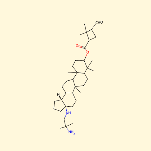 CC(C)(N)CNC12CCC[C@@H]1C1CCC3C(C)(CCC4C(C)(C)C(OC(=O)C5CC(C=O)C5(C)C)CCC43C)C1CC2